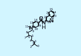 CC(C)=CCCC(C)CCN(C)c1ccc(C(=O)Nc2cnc3ccccc3c2)cc1